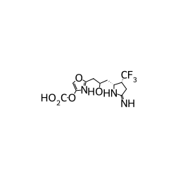 N=C1C[C@@H](C(F)(F)F)[C@@H](CC(O)Cc2nc(OC(=O)O)co2)N1